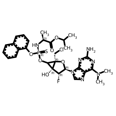 CC(C)OC(=O)[C@H](C)N[P@](=S)(Oc1cccc2ccccc12)OC1[C@@]2(CCl)O[C@@H](n3cnc4c(N(C)C)nc(N)nc43)[C@H](F)[C@@]12O